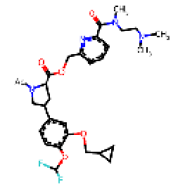 CC(=O)N1CC(c2ccc(OC(F)F)c(OCC3CC3)c2)C[C@@H]1C(=O)OCc1cccc(C(=O)N(C)CCN(C)C)n1